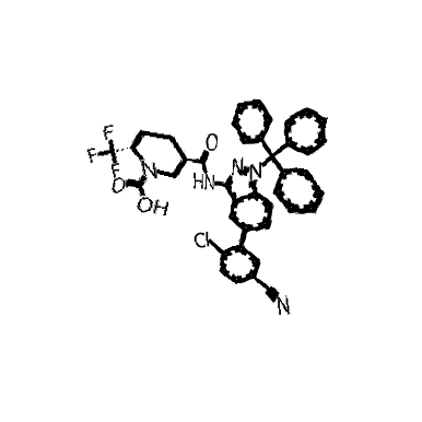 N#Cc1ccc(Cl)c(-c2ccc3c(c2)c(NC(=O)[C@@H]2CC[C@@H](C(F)(F)F)N(C(=O)O)C2)nn3C(c2ccccc2)(c2ccccc2)c2ccccc2)c1